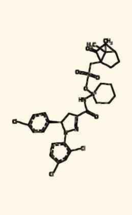 CC1(C)C2CCC1(CS(=O)(=O)O[N+]1(NC(=O)C3=NN(c4ccc(Cl)cc4Cl)[C@@H](c4ccc(Cl)cc4)C3)CCCCC1)C(=O)C2